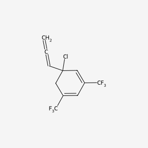 C=C=CC1(Cl)C=C(C(F)(F)F)C=C(C(F)(F)F)C1